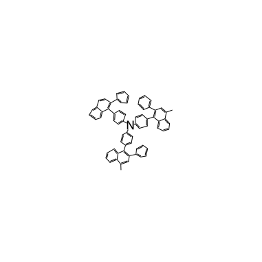 Cc1cc(-c2ccccc2)c(-c2ccc(N(c3ccc(-c4c(-c5ccccc5)ccc5ccccc45)cc3)c3ccc(-c4c(-c5ccccc5)cc(C)c5ccccc45)cc3)cc2)c2ccccc12